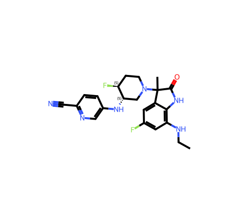 CCNc1cc(F)cc2c1NC(=O)C2(C)N1CC[C@H](F)[C@@H](Nc2ccc(C#N)nc2)C1